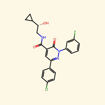 O=C(NC[C@@H](O)C1CC1)c1cc(-c2ccc(Cl)cc2)nn(-c2cccc(F)c2)c1=O